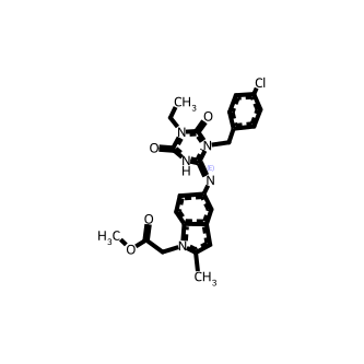 CCn1c(=O)[nH]/c(=N\c2ccc3c(c2)cc(C)n3CC(=O)OC)n(Cc2ccc(Cl)cc2)c1=O